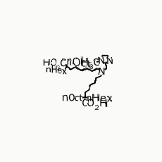 CCCCCCCCC(CCCCCC)(CCCCCCN(CCCCCCC(CCCCCC)(CCCCCCCC)C(=O)O)CC1=NCCN1C)C(=O)O